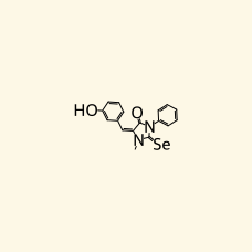 CN1C(=[Se])N(c2ccccc2)C(=O)C1=Cc1cccc(O)c1